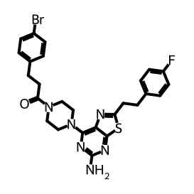 Nc1nc(N2CCN(C(=O)CCc3ccc(Br)cc3)CC2)c2nc(CCc3ccc(F)cc3)sc2n1